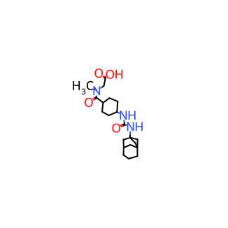 CN(CC(=O)O)C(=O)C1CCC(NC(=O)NC23CC4CCCC(C4)(C2)C3)CC1